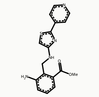 COC(=O)c1cccc(N)c1CNc1csc(-c2ccncc2)n1